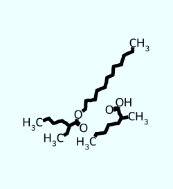 CCCCCC(C)C(=O)O.CCCCCCCCCCCCOC(=O)C(CC)CCCC